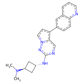 CN(C)[C@H]1C[C@H](Nc2ncc3c(-c4ccc5ncccc5c4)ccn3n2)C1